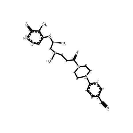 Cc1c(O[C@@H](C)CN(C)CCC(=O)N2CCN(c3ccc(C#N)cn3)CC2)cn[nH]c1=O